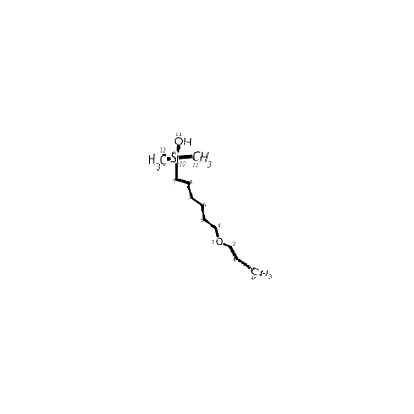 CCCOCCCCCC[Si](C)(C)O